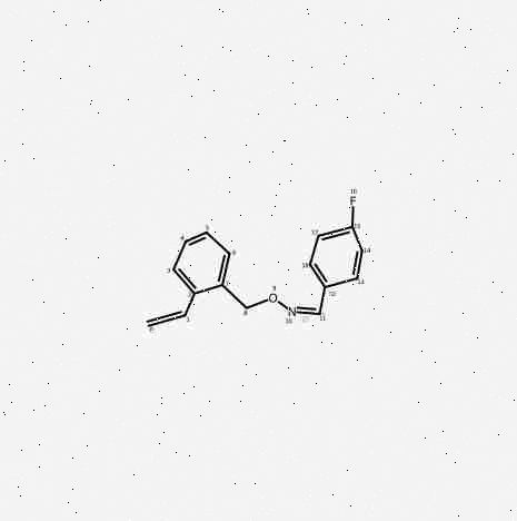 C=Cc1ccccc1CO/N=[C]\c1ccc(F)cc1